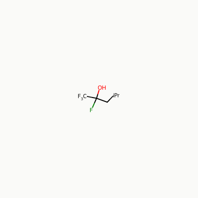 CC(C)CC(O)(F)C(F)(F)F